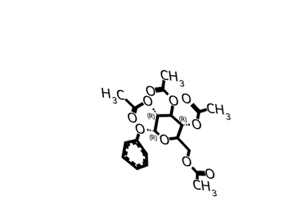 CC(=O)OCC1O[C@H](Oc2ccccc2)[C@H](OC(C)=O)C(OC(C)=O)[C@@H]1OC(C)=O